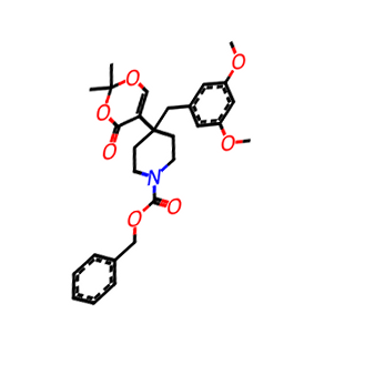 COc1cc(CC2(C3=COC(C)(C)OC3=O)CCN(C(=O)OCc3ccccc3)CC2)cc(OC)c1